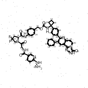 NNc1ccc(C(=O)NCC(=O)N2CC(F)(F)C[C@H]2C(=O)Nc2ccc(COC(=O)NC3(c4ccc(-c5nc6ccn7c(=O)[nH]nc7c6cc5-c5ccccc5)cc4)CCC3)cc2)cn1